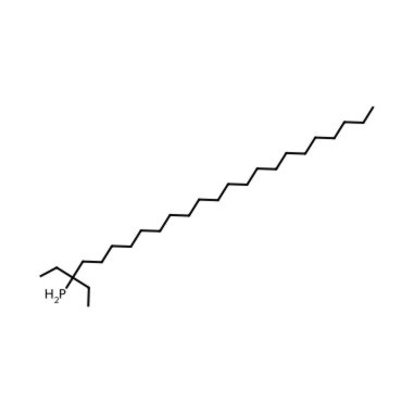 CCCCCCCCCCCCCCCCCCCCCC(P)(CC)CC